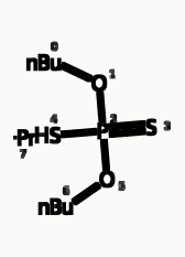 CCCCOP(=S)(S)OCCCC.[Pr]